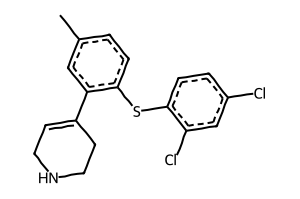 Cc1ccc(Sc2ccc(Cl)cc2Cl)c(C2=CCNCC2)c1